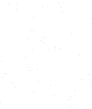 C#Cc1ccnc(OC)c1